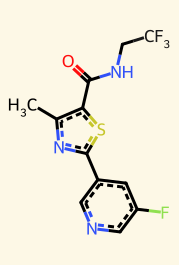 Cc1nc(-c2cncc(F)c2)sc1C(=O)NCC(F)(F)F